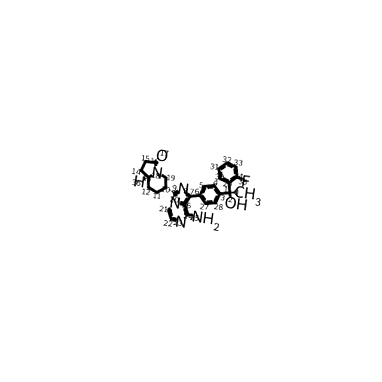 C[C@@](O)(c1ccc(-c2nc([C@@H]3CC[C@H]4CCC(=O)N4C3)n3ccnc(N)c23)cc1)c1ccccc1F